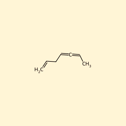 C=CCC=C=CC